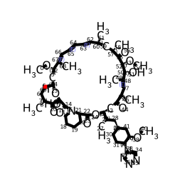 CO[C@H]1C[C@@H]2CC[C@@H](C)C(=O)C(O)(O2)C(=O)N2CCCCC2C(=O)O[C@H]([C@H](C)C[C@@H]2CC[C@@H](n3cnnn3)[C@H](OC)C2)CC(=O)[C@H](C)/C=C(\C)[C@@H](O)[C@@H](OC)C(=O)[C@@H](C)C[C@H](C)/C=C/C=C/C=C/1C